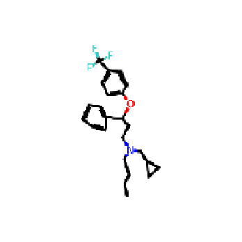 CCCCN(CCC(Oc1ccc(C(F)(F)F)cc1)c1ccccc1)CC1CC1